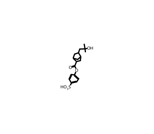 CC(C)(O)CC1CC2CC1CC2C(=O)Oc1ccc(S(=O)(=O)O)cc1